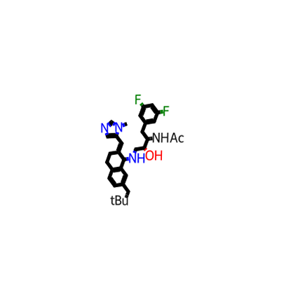 CC(=O)NC(Cc1cc(F)cc(F)c1)C(O)CNC1C(=Cc2cncn2C)CCc2ccc(CC(C)(C)C)cc21